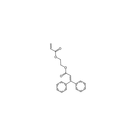 C=CC(=O)OCCOC(=O)C=C(c1ccccc1)c1ccccc1